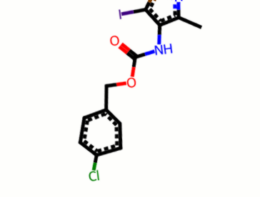 Cc1nsc(I)c1NC(=O)OCc1ccc(Cl)cc1